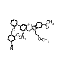 COCCn1c(Cc2c(F)cc(-c3cccnc3OCc3ccc(C#N)cc3OC)cc2F)nc2ccc(C(C)=O)cc21